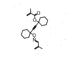 C=C(C)C=NOC1(C#CC2(OC(=O)C(=C)C)CCCCC2)CCCCC1